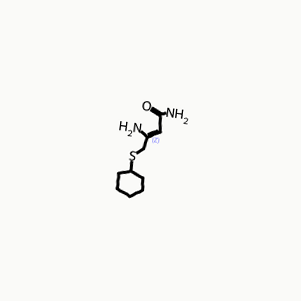 NC(=O)/C=C(\N)CSC1CCCCC1